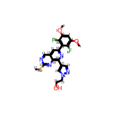 COc1cc(OC)c(F)c(-c2cc3cnc(SC)nc3c(-c3cnn(CCO)c3)n2)c1F